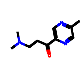 Cc1cnc(C(=O)CCN(C)C)cn1